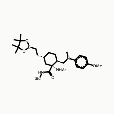 COc1ccc(N(C)C[C@@H]2CC[C@@H](CCB3OC(C)(C)C(C)(C)O3)C[C@]2(NC(C)=O)C(=O)NC(C)(C)C)cc1